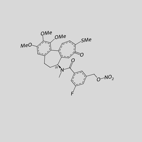 COc1cc2c(c(OC)c1OC)-c1ccc(SC)c(=O)cc1[C@@H](N(C)C(=O)c1cc(F)cc(CO[N+](=O)[O-])c1)CC2